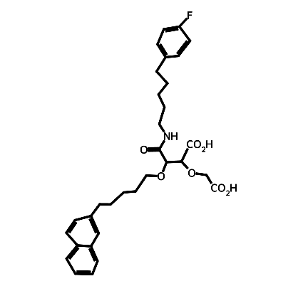 O=C(O)COC(C(=O)O)C(OCCCCCc1ccc2ccccc2c1)C(=O)NCCCCCc1ccc(F)cc1